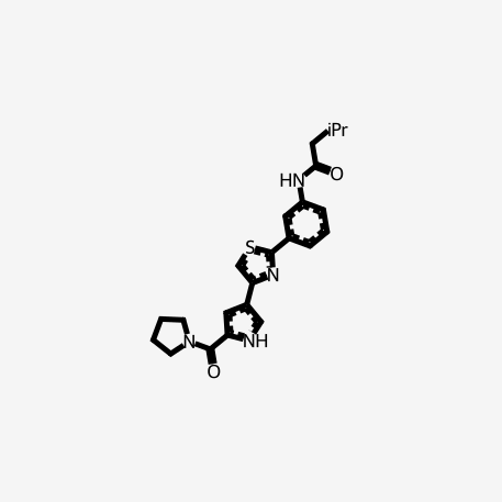 CC(C)CC(=O)Nc1cccc(-c2nc(-c3c[nH]c(C(=O)N4CCCC4)c3)cs2)c1